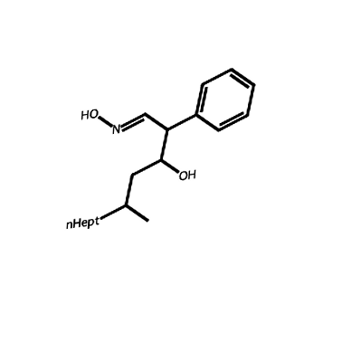 CCCCCCCC(C)CC(O)C(C=NO)c1ccccc1